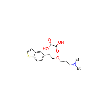 CCN(CC)CCCOCCc1ccc2sccc2c1.O=C(O)C(=O)O